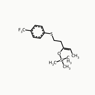 C/C=C(/CCSc1ccc(C(F)(F)F)cc1)O[Si](C)(C)C